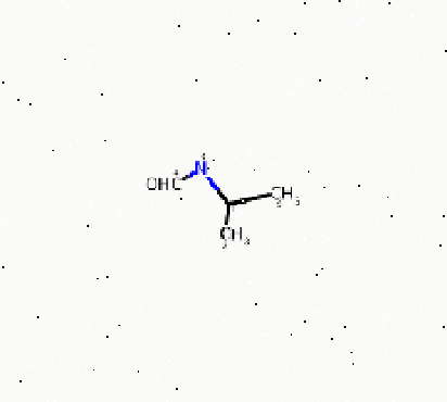 CC(C)[N]C=O